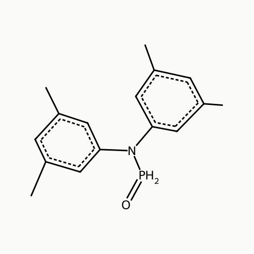 Cc1cc(C)cc(N([PH2]=O)c2cc(C)cc(C)c2)c1